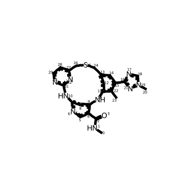 CNC(=O)c1cnc2cc1Nc1cc(cc(-c3ncn(C)n3)c1C)CSCc1ccnc(n1)N2